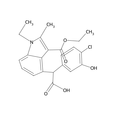 CCOC(=O)c1c(C)n(CC)c2cccc(C(C(=O)O)c3ccc(Cl)c(O)c3)c12